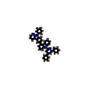 c1ccc(-c2cc(-c3ccccc3)nc(-n3c4ccccc4c4c(-c5ccc6c(c5)c5cccnc5n6-c5ccccc5)cccc43)c2)cc1